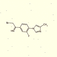 Cc1cn(-c2ccc(C(=N)CBr)cc2F)cn1